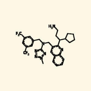 Cn1nnc(N(Cc2cc(C(F)(F)F)cc(C(F)(F)F)c2)Cc2cc3ccccc3nc2C(CCN)C2CCCC2)n1